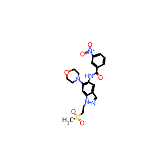 CS(=O)(=O)CCn1ncc2cc(NC(=O)c3cccc([N+](=O)[O-])c3)c(N3CCOCC3)cc21